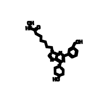 O=C(CCCCCCn1cnc2c(N3CCC(O)CC3)nc(-c3cccc(CO)c3)nc21)NO